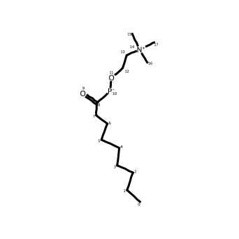 CCCCCCCCC(=O)[P-]OCC[N+](C)(C)C